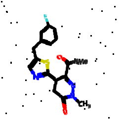 CNC(=O)C1=NN(C)C(=O)CC1c1ncc(Cc2cccc(F)c2)s1